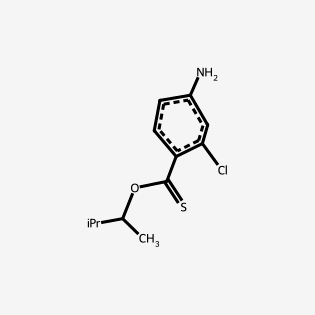 CC(C)C(C)OC(=S)c1ccc(N)cc1Cl